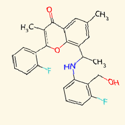 Cc1cc(C(C)Nc2cccc(F)c2CO)c2oc(-c3ccccc3F)c(C)c(=O)c2c1